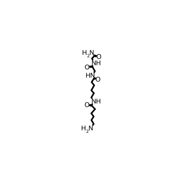 NCCCCCC(=O)NCCCCCC(=O)NCC(=O)NCC(N)=O